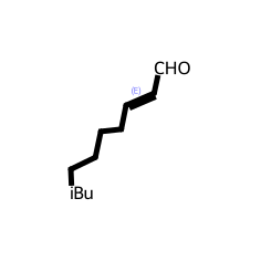 CCC(C)CCCC/C=C/C=O